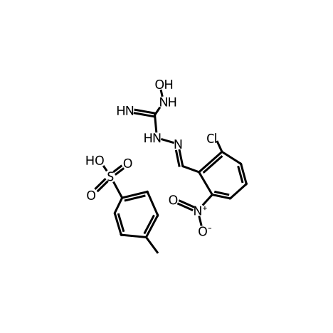 Cc1ccc(S(=O)(=O)O)cc1.N=C(NO)N/N=C/c1c(Cl)cccc1[N+](=O)[O-]